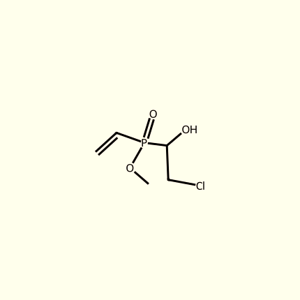 C=CP(=O)(OC)C(O)CCl